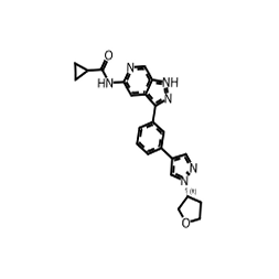 O=C(Nc1cc2c(-c3cccc(-c4cnn([C@@H]5CCOC5)c4)c3)n[nH]c2cn1)C1CC1